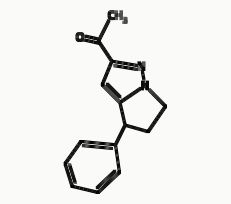 CC(=O)c1cc2n(n1)CCC2c1ccccc1